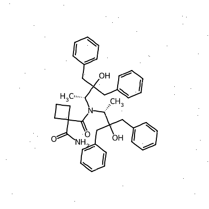 C[C@@H](N(C(=O)C1(C(N)=O)CCC1)[C@H](C)C(O)(Cc1ccccc1)Cc1ccccc1)C(O)(Cc1ccccc1)Cc1ccccc1